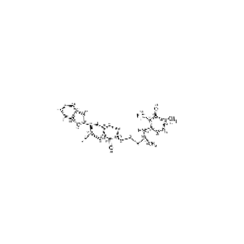 C[C@@H](CCCn1ccc2cc(-c3nc4ccccc4o3)c(F)cc2c1=O)Nc1cnn(C)c(=O)c1C(F)(F)F